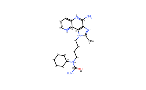 CCCCc1nc2c(N)nc3cccnc3c2n1CCCCN(C(N)=O)C1CCCCC1